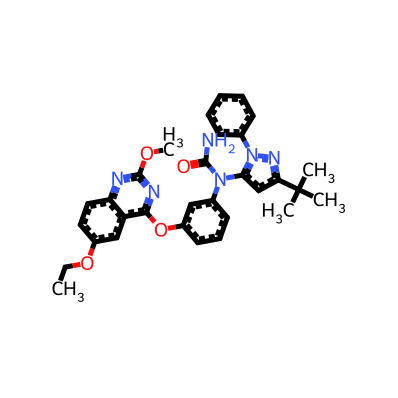 CCOc1ccc2nc(OC)nc(Oc3cccc(N(C(N)=O)c4cc(C(C)(C)C)nn4-c4ccccc4)c3)c2c1